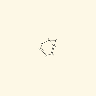 C1=CCC2CC2=C1